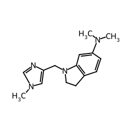 CN(C)c1ccc2c(c1)N(Cc1cn(C)cn1)CC2